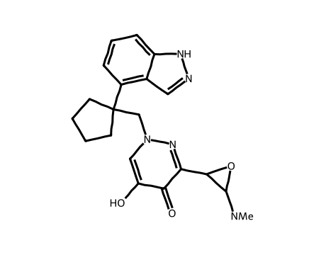 CNC1OC1c1nn(CC2(c3cccc4[nH]ncc34)CCCC2)cc(O)c1=O